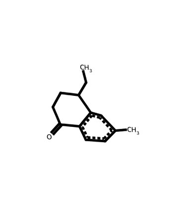 CCC1CCC(=O)c2ccc(C)cc21